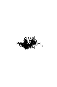 COc1ccc(C(OCC2OC(n3cc(C)c(=O)[nH]c3=O)CC2O)(c2ccccc2)c2ccc(OC(C)C)cc2)cc1